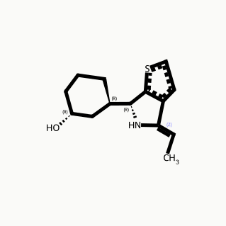 C/C=C1\N[C@H]([C@@H]2CCC[C@@H](O)C2)c2sccc21